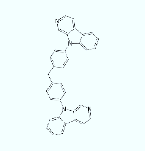 c1ccc2c(c1)c1ccncc1n2-c1ccc(Cc2ccc(-n3c4ccccc4c4ccncc43)cc2)cc1